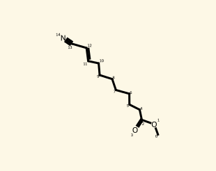 COC(=O)CCCCCCC/C=C/C#N